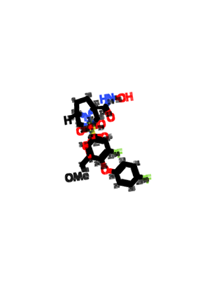 COCCOC(=O)N1C[C@@H]2CC[C@](C(=O)NO)(C1)N2S(=O)(=O)c1ccc(Oc2ccc(F)cc2)c(F)c1